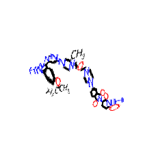 CC(C)Oc1ccc2[nH]nc(-c3cc(N4CCN(CCOCCN5CCN(c6ccc7c(c6)C(=O)N(C6CCC(=O)NC6=O)C7=O)CC5)C(C)C4)ncn3)c2c1